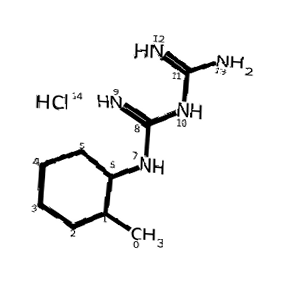 CC1CCCCC1NC(=N)NC(=N)N.Cl